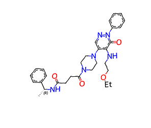 CCOCCNc1c(N2CCN(C(=O)CCC(=O)N[C@H](C)c3ccccc3)CC2)cnn(-c2ccccc2)c1=O